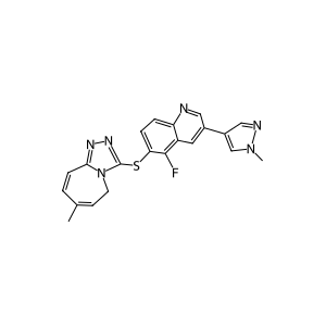 CC1=CCn2c(nnc2Sc2ccc3ncc(-c4cnn(C)c4)cc3c2F)C=C1